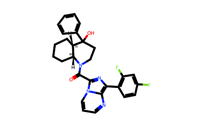 O=C(c1nc(-c2ccc(F)cc2F)c2ncccn12)N1CCC(O)(c2ccccc2)[C@H]2CCCC[C@H]21